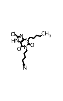 CCCCCn1c(=O)n(CCCCC#N)c(=O)c2[nH]c(Cl)nc21